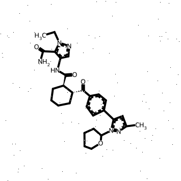 CCn1ncc(NC(=O)[C@@H]2CCCC[C@H]2C(=O)c2ccc(-c3cc(C)nn3C3CCCCO3)cc2)c1C(N)=O